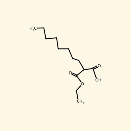 CCCCCCCCC(C(=O)O)C(=O)OCC